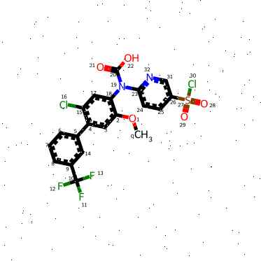 COc1cc(-c2cccc(C(F)(F)F)c2)c(Cl)cc1N(C(=O)O)c1ccc(S(=O)(=O)Cl)cn1